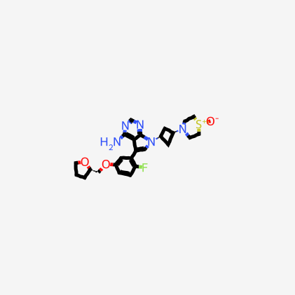 Nc1ncnc2c1c(-c1cc(OC[C@@H]3CCCO3)ccc1F)cn2[C@H]1C[C@@H](N2CC[S+]([O-])CC2)C1